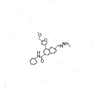 COCc1cc(-c2cc(C(=O)Nc3ccccc3)cc3ccc(C=NN)cc23)co1